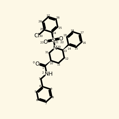 O=C(NCc1ccccc1)[C@@H]1CC[C@H](c2ccccc2)N(S(=O)(=O)c2ccccc2Cl)C1